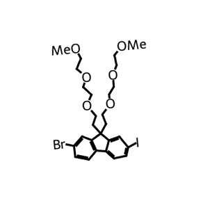 COCCOCCOCCC1(CCOCCOCCOC)c2cc(Br)ccc2-c2ccc(I)cc21